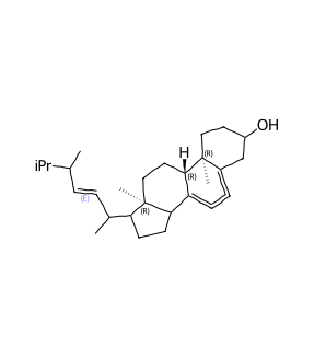 CC(C)C(C)/C=C/C(C)C1CCC2C3=C=C=C4CC(O)CC[C@]4(C)[C@H]3CC[C@@]21C